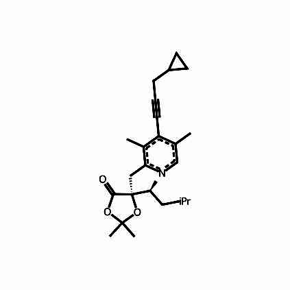 Cc1cnc(C[C@]2([C@@H](C)CC(C)C)OC(C)(C)OC2=O)c(C)c1C#CCC1CC1